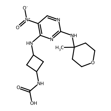 CC1(Nc2ncc([N+](=O)[O-])c(NC3CC(NC(=O)O)C3)n2)CCOCC1